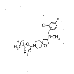 CN(Cc1ccc(F)cc1Cl)C1COC2(CCN(C(=O)OC(C)(C)C)CC2)C1